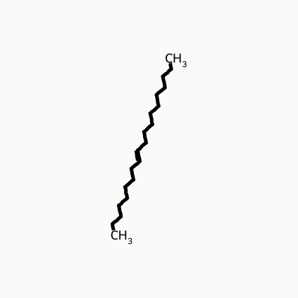 CCCCCCCCC=CCCCCCCCCCC